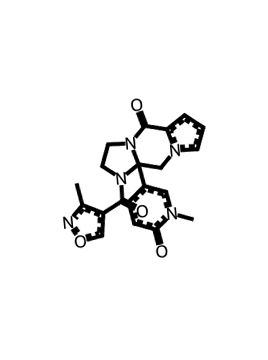 Cc1nocc1C(=O)N1CCN2C(=O)c3cccn3CC12c1ccc(=O)n(C)c1